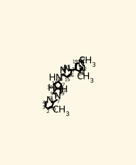 Cc1cccnc1CN1C[C@H]2C[C@H](Nc3ccc(-c4cn(C)nc4C)nn3)C[C@H]2C1